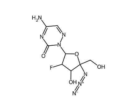 [N-]=[N+]=NC1(CO)OC(n2ncc(N)nc2=O)C(F)C1O